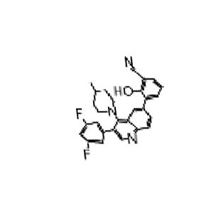 CC1CCN(c2c(-c3cc(F)cc(F)c3)cnc3ccc(-c4cccc(C#N)c4O)cc23)CC1